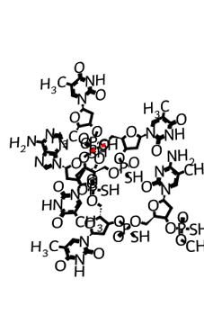 COP(=O)(S)OC1C[C@H](n2cc(C)c(N)nc2=O)O[C@@H]1COP(=O)(S)OC1C[C@H](n2cc(C)c(=O)[nH]c2=O)O[C@@H]1COP(=O)(S)OC1C[C@H](n2cnc3c(N)ncnc32)O[C@@H]1COP(=O)(S)OC1C[C@H](n2cc(C)c(=O)[nH]c2=O)O[C@@H]1COP(=O)(S)OC1C[C@H](n2cc(C)c(=O)[nH]c2=O)O[C@@H]1COP(=O)(S)OC1C[C@H](n2cc(C)c(=O)[nH]c2=O)O[C@@H]1C